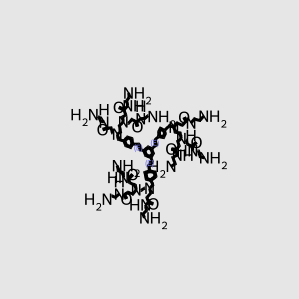 NCCNC(=O)CCN(CCC(=O)NCCN)CCN(CCC(=O)NCCN)Cc1ccc(/C=C/c2cc(/C=C/c3ccc(CN(CCC(=O)NCCN)CCN(CCC(=O)NCCN)CCC(=O)NCCN)cc3)cc(/C=C/c3ccc(CN(CCC(=O)NCCN)CCN(CCC(=O)NCCN)CCC(=O)NCCN)cc3)c2)cc1